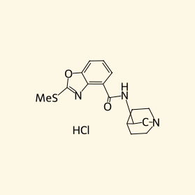 CSc1nc2c(C(=O)NC3CN4CCC3CC4)cccc2o1.Cl